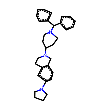 c1ccc(C(c2ccccc2)N2CCC(N3CCc4cc(N5CCCC5)ccc4C3)CC2)cc1